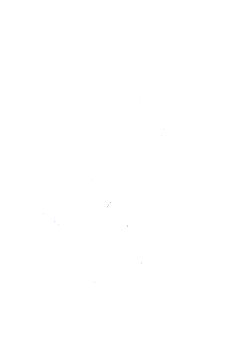 CC(C)(C)N1C[C@@H](C(=O)N2CCN(C(=O)[C@@H](N)Cc3ccc(Cl)cc3)CC2)[C@H](c2ccc(F)cc2F)C1